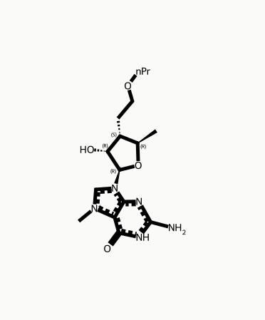 CCCOCC[C@H]1[C@@H](O)[C@H](n2c[n+](C)c3c(=O)[nH]c(N)nc32)O[C@@H]1C